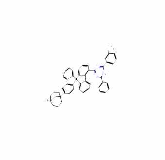 C[C@@H]1C[C@@H]2C[C@H](C)CC(c3ccc(C4(c5ccccc5)c5ccccc5-c5c(-c6nc(-c7ccccc7)nc(-c7cccc(C#N)c7)n6)cccc54)cc3)(C1)C2